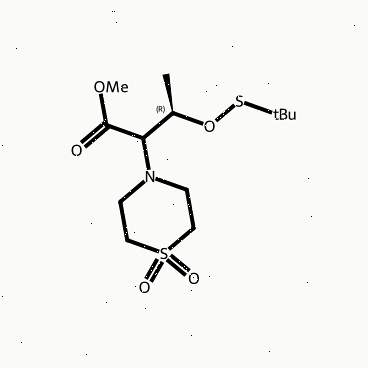 COC(=O)C([C@@H](C)OSC(C)(C)C)N1CCS(=O)(=O)CC1